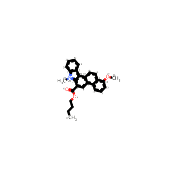 CCCCOC(=O)c1cc2c3cccc(OC)c3ccc2c2c3ccccc3n(C)c12